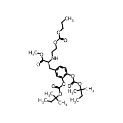 CCCOC(=O)OCCN[C@@H](Cc1ccc(OC(=O)OC(C)(C)CC)c(OC(=O)OC(C)(C)CC)c1)C(=O)OC